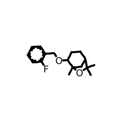 CC1(C)OC2(C)CC1CCC2OCc1ccccc1F